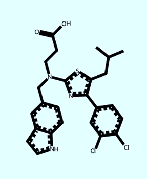 CC(C)Cc1sc(N(CCC(=O)O)Cc2ccc3[nH]ccc3c2)nc1-c1ccc(Cl)c(Cl)c1